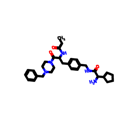 CCC(=O)NC(Cc1ccc(CNC(=O)C(N)C2CCCC2)cc1)C(=O)N1CCN(Cc2ccccc2)CC1